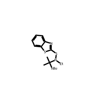 CCCCC(C)(C)N(CC)Sc1nc2ccccc2s1